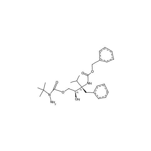 CC(C)[C@](Cc1ccccc1)(NC(=O)OCc1ccccc1)[C@@H](O)COC(=O)N(N)C(C)(C)C